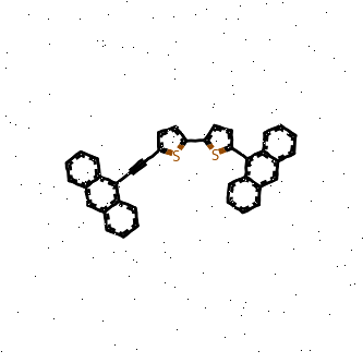 C(#Cc1c2ccccc2cc2ccccc12)c1ccc(-c2ccc(-c3c4ccccc4cc4ccccc34)s2)s1